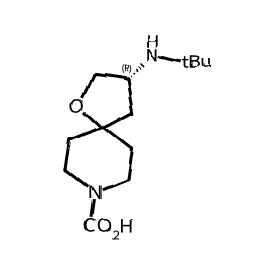 CC(C)(C)N[C@H]1COC2(CCN(C(=O)O)CC2)C1